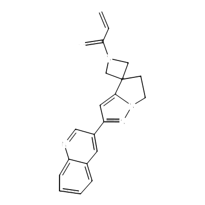 C=CC(=O)N1CC2(CCn3nc(-c4cnc5ccccc5c4)cc32)C1